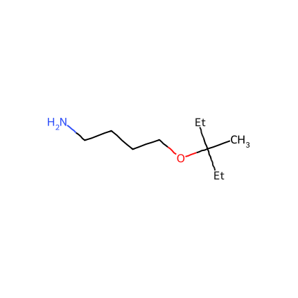 CCC(C)(CC)OCCCCN